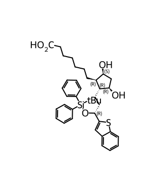 CC(C)(C)[Si](O[C@H](CC[C@@H]1[C@@H](CCCCCCC(=O)O)[C@@H](O)C[C@H]1O)c1cc2ccccc2s1)(c1ccccc1)c1ccccc1